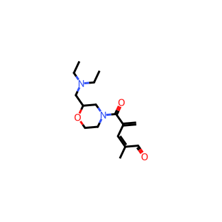 C=C(/C=C(/C)C=O)C(=O)N1CCOC(CN(CC)CC)C1